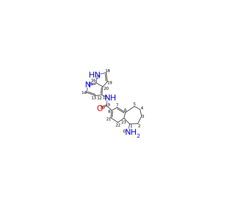 NC1CCCCC2=CC(C(=O)Nc3ccnc4[nH]ccc34)=CCC21